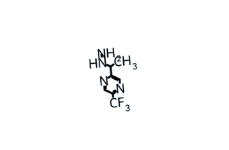 CC(NN)c1cnc(C(F)(F)F)cn1